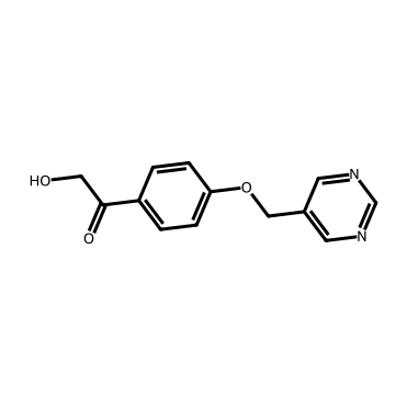 O=C(CO)c1ccc(OCc2cncnc2)cc1